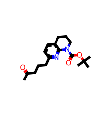 CC(=O)CCCc1ccc2c(n1)N(C(=O)OC(C)(C)C)CCC2